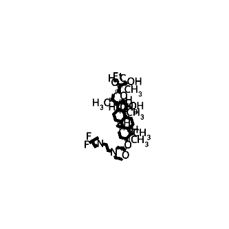 CCO[C@@H]([C@H]1C[C@@H](C)[C@H]2[C@H](O1)[C@H](O)[C@@]1(C)[C@@H]3CC[C@H]4C(C)(C)[C@@H](O[C@H]5CN(CCN6CC(F)(F)C6)CCO5)CC[C@@]45C[C@@]35CC[C@]21C)C(C)(C)O